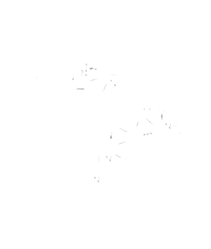 CN(C)CCNC(=O)c1cccc(-c2ccc(C(N)=O)c(OC3CC4(CC(NC(=O)c5cnn6cc(OCC(C)(C)O)ccc56)C4)C3)c2)c1